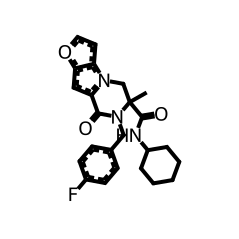 CC1(C(=O)NC2CCCCC2)Cn2c(cc3occc32)C(=O)N1Cc1ccc(F)cc1